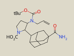 C=CCN(C(=O)OC(C)(C)C)C1CCN(C(=O)O)C1C1C2CC3CC1CC(C(N)=O)(C3)C2